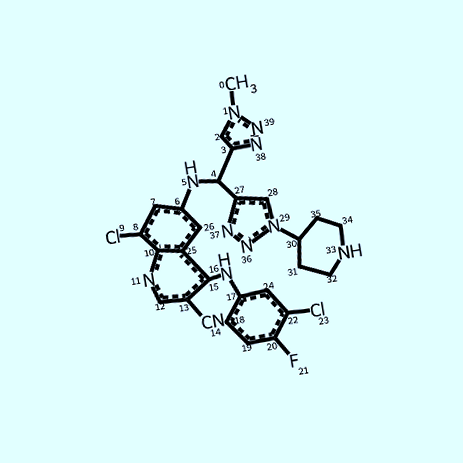 Cn1cc(C(Nc2cc(Cl)c3ncc(C#N)c(Nc4ccc(F)c(Cl)c4)c3c2)c2cn(C3CCNCC3)nn2)nn1